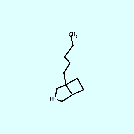 CCCCCC12CCC1CNC2